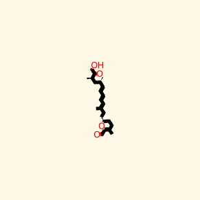 CC1=C(C=O)O[C@H](CC/C(C)=C/C=C/C=C/[C@@H](C)C[C@@H](C)C(=O)CO)CC1